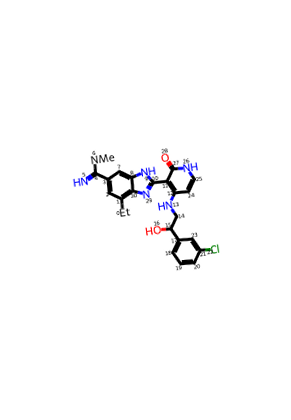 CCc1cc(C(=N)NC)cc2[nH]c(-c3c(NCC(O)c4cccc(Cl)c4)cc[nH]c3=O)nc12